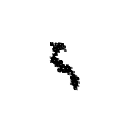 CC(C)(C)c1csc(CCc2cccc(C(=O)NC(Oc3ccc(CCCS(=O)(=O)c4ccc(Cl)cc4)cc3)C(N)=O)c2)n1